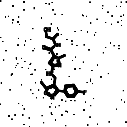 Cc1onc(-c2ccc(F)cc2)c1CNc1cc(C(=O)NC(C)CO)n(C)n1